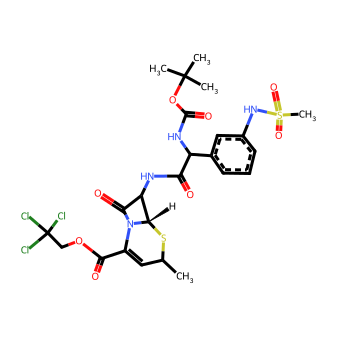 CC1C=C(C(=O)OCC(Cl)(Cl)Cl)N2C(=O)C(NC(=O)C(NC(=O)OC(C)(C)C)c3cccc(NS(C)(=O)=O)c3)[C@@H]2S1